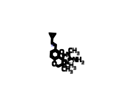 CN1C(=O)C2(N=C1N)c1cc(/C=C/C3CC3)ccc1OCC2(C)C